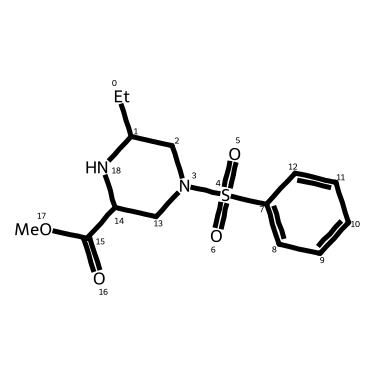 CCC1CN(S(=O)(=O)c2ccccc2)CC(C(=O)OC)N1